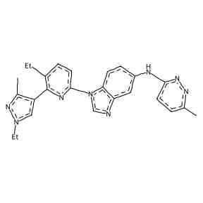 CCc1ccc(-n2cnc3cc(Nc4ccc(C)nn4)ccc32)nc1-c1cn(CC)nc1C